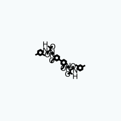 COc1cc(-c2ccc(N=NC(C(C)=O)C(=O)Nc3ccc(C)cc3C)c(OC)c2)ccc1N=NC(C(C)=O)C(=O)Nc1ccc(C)cc1C